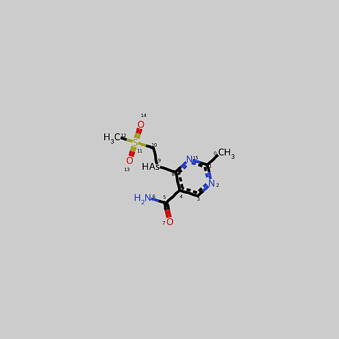 Cc1ncc(C(N)=O)c([AsH]CS(C)(=O)=O)n1